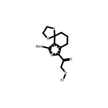 CCOCC(=O)c1sc(SC)c2c1CCCC21SCCS1